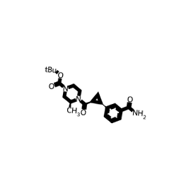 C[C@H]1CN(C(=O)OC(C)(C)C)CCN1C(=O)[C@H]1C[C@@H]1c1cccc(C(N)=O)c1